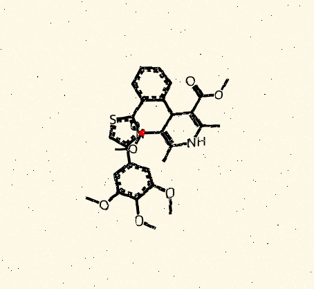 COC(=O)C1=C(C)NC(C)=C(C(=O)OC)C1c1ccccc1-c1nc(-c2cc(OC)c(OC)c(OC)c2)cs1